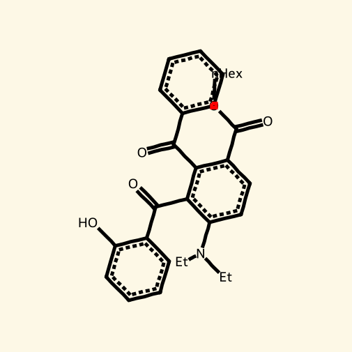 CCCCCCOC(=O)c1ccc(N(CC)CC)c(C(=O)c2ccccc2O)c1C(=O)c1ccccc1